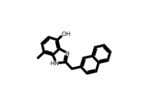 Cc1ccc(O)c2nc(Cc3ccc4ccccc4c3)[nH]c12